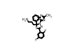 Cc1noc(N2N=C(c3cc(F)ccc3F)SC2(CCCN)c2ccccc2)n1